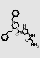 NCC(=O)N[C@@H]1CN[C@@H](C(=O)N2CCN(Cc3ccccc3)C[C@H]2CCc2ccccc2)C1